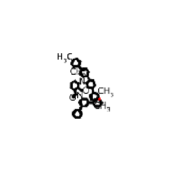 Cc1ccc(-c2ccc3c4ccc(-c5ccc(C)cc5C)cc4n(-c4cccc5c4C(=O)N(c4cc(-c6ccccc6)cc(-c6ccccc6)c4)C5=O)c3c2)c(C)c1